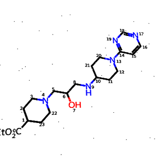 CCOC(=O)C1CCN(CC(O)CNC2CCN(c3ccncn3)CC2)CC1